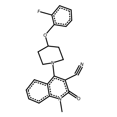 Cn1c(=O)c(C#N)c(N2CCC(Oc3ccccc3F)CC2)c2ccccc21